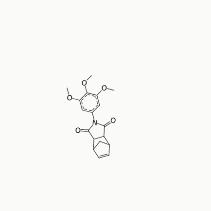 COc1cc(N2C(=O)C3C4C=CC(C4)C3C2=O)cc(OC)c1OC